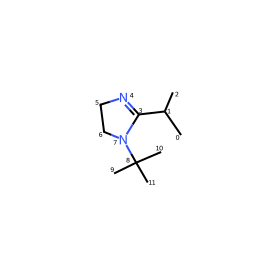 CC(C)C1=NCCN1C(C)(C)C